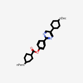 CCCCCCCCCCC1CCC(c2cnc(-c3ccc(OC(=O)C4CCC(CCCCC)CC4)cc3)nc2)CC1